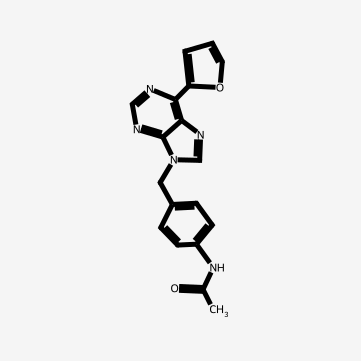 CC(=O)Nc1ccc(Cn2cnc3c(-c4ccco4)ncnc32)cc1